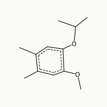 COc1cc(C)c(C)cc1OC(C)C